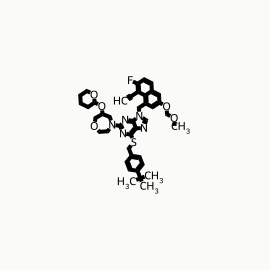 C#Cc1c(F)ccc2cc(OCOC)cc(Cn3cnc4c(SCc5ccc(C(C)(C)C)cc5)nc(N5CCOCC(OC6CCCCO6)C5)nc43)c12